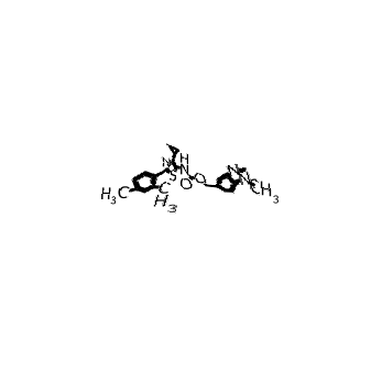 Cc1ccc(-c2nc(C3CC3)c(NC(=O)OCc3ccc4c(c3)ncn4C)s2)c(C)c1